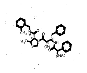 CC(=O)NC(C(=O)N[C@@H](Cc1ccccc1)[C@H](O)C(=O)N1CSC(C)[C@H]1C(=O)NCc1ccccc1C)c1ccccc1